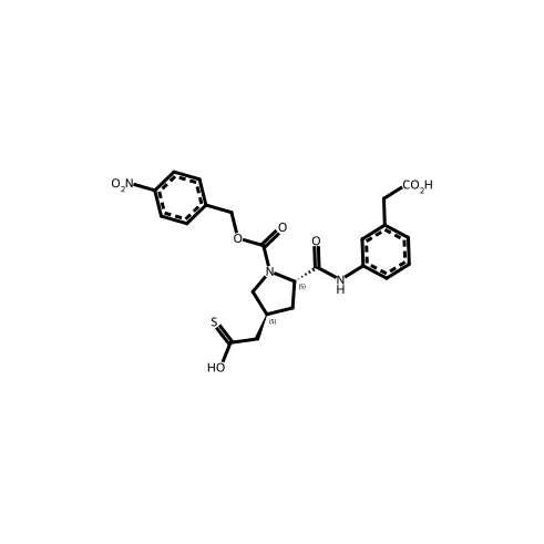 O=C(O)Cc1cccc(NC(=O)[C@@H]2C[C@@H](CC(O)=S)CN2C(=O)OCc2ccc([N+](=O)[O-])cc2)c1